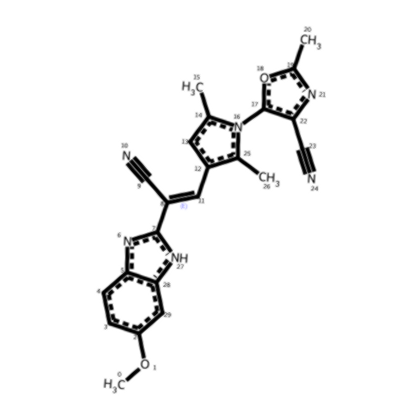 COc1ccc2nc(/C(C#N)=C/c3cc(C)n(-c4oc(C)nc4C#N)c3C)[nH]c2c1